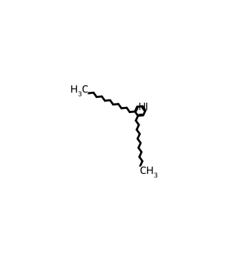 CCCCCCCCCCCCc1ccccc1CCCCCCCCCCCC.I